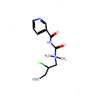 C[N+](C)(CC(Cl)CC(=O)[O-])C(=O)NC(=O)c1cccnc1